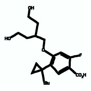 CC(C)(C)C1(c2cc(C(=O)O)c(F)cc2OCC(CCO)CCO)CC1